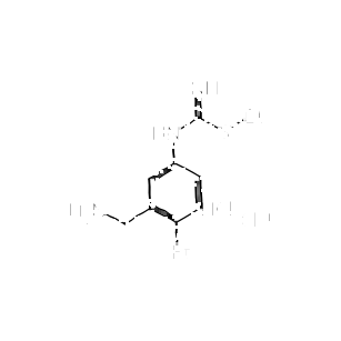 CCSC(=N)Nc1ccc(CC)c(CN)c1.Cl.Cl